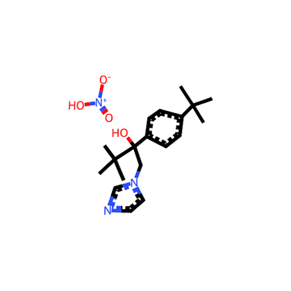 CC(C)(C)c1ccc(C(O)(Cn2ccnc2)C(C)(C)C)cc1.O=[N+]([O-])O